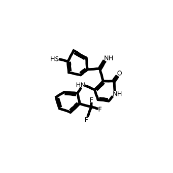 N=C(c1ccc(S)cc1)c1c(Nc2ccccc2C(F)(F)F)cc[nH]c1=O